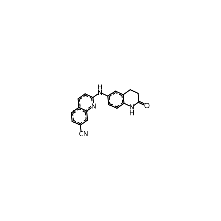 N#Cc1ccc2ccc(Nc3ccc4c(c3)CCC(=O)N4)nc2c1